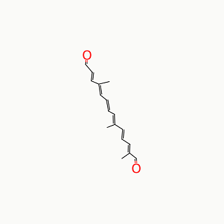 C\C(C=O)=C/C=C/C(C)=C/C=C/C=C(C)/C=C/C=O